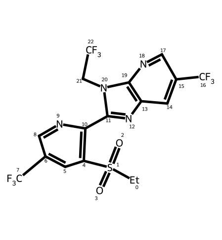 CCS(=O)(=O)c1cc(C(F)(F)F)cnc1-c1nc2cc(C(F)(F)F)cnc2n1CC(F)(F)F